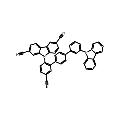 N#Cc1ccc(-n2c3ccc(C#N)cc3c3ccc(C#N)cc32)c(-c2ccc(-c3cccc(-n4c5ccccc5c5ccccc54)c3)cc2)c1